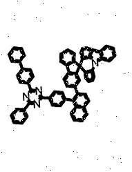 c1ccc(-c2ccc(-c3nc(-c4ccccc4)nc(-c4ccc(-c5c(-c6ccc7c(c6)C6(c8ccccc8-7)c7ccccc7-n7c8ccccc8c8cccc6c87)ccc6ccccc56)cc4)n3)cc2)cc1